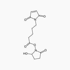 O=C(CCCCN1C(=O)C=CC1=O)ON1C(=O)CCC1O